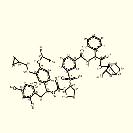 O=C(NC(C(=O)O[C@H]1CN2CCC1CC2)c1ccccc1)c1cccc(S(=O)(=O)N2CCS[C@H]2C(=O)O[C@@H](Cc2c(Cl)c[n+]([O-])cc2Cl)c2ccc(OC(F)F)c(OCC3CC3)c2)c1